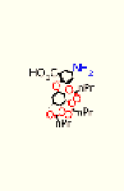 CCCC(=O)O[C@@H]1[C@H](OC(=O)CCC)[C@H](C)CC(Oc2ccc(N)cc2C(=O)O)[C@H]1OC(=O)CCC